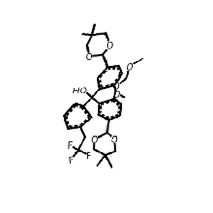 COCOc1ccc(C2OCC(C)(C)CO2)cc1C(O)(c1cccc(CC(F)(F)F)c1)c1cc(C2OCC(C)(C)CO2)ccc1OC